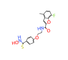 Cc1ccc(F)c2oc(C(=O)NCCOc3ccc(C(=S)NO)cc3)cc12